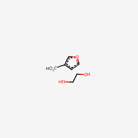 O=C(O)c1ccoc1.OCCO